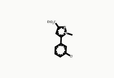 CCOC(=O)c1cc(-c2cccc(Cl)c2)n(C)n1